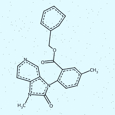 Cc1ccc(-n2c(=O)n(C)c3ccncc32)c(C(=O)OCc2ccccc2)c1